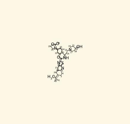 CC1(C2CCc3nc4sc(C(=O)N[C@H](CCN5CCC(O)CC5)c5ccc(N6CCOC6=O)cc5)nc4cc3C2)CC1